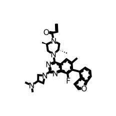 C=CC(=O)N1C[C@H](C)N(c2nc(N3CC(N(C)C)C3)nc3c(F)c(-c4cccc5occc45)c(C)cc23)C[C@H]1C